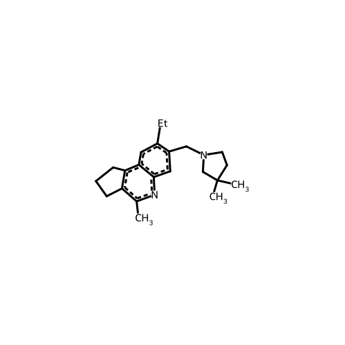 CCc1cc2c3c(c(C)nc2cc1CN1CCC(C)(C)C1)CCC3